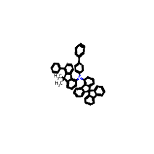 CC1(C)c2cccc(N(c3ccc(-c4ccccc4)cc3)c3cccc4c3-c3ccccc3C43c4ccccc4-c4ccccc43)c2-c2cccc(-c3ccccc3)c21